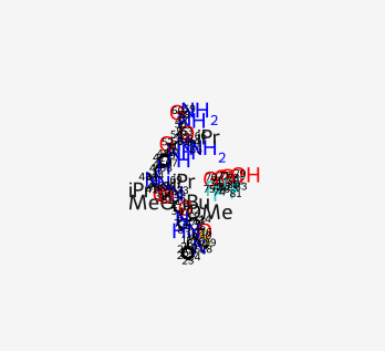 CC[C@H](C)[C@@H]([C@@H](CC(=O)N1CCC[C@H]1[C@H](OC)[C@@H](C)C(=O)N[C@@H](Cc1ccccc1)c1nccs1)OC)N(C)C(=O)[C@@H](NC(=O)[C@H](C(C)C)N(C)CCc1ccc(NC(=O)[C@H](CCCNC(N)=O)NC(=O)[C@@H](N)C(C)C)cc1)C(C)C.O=C(O)C(F)(F)F.O=C(O)C(F)(F)F